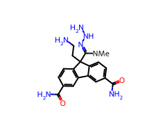 CN/C(=N\NN)C1(CCN)c2ccc(C(N)=O)cc2-c2cc(C(N)=O)ccc21